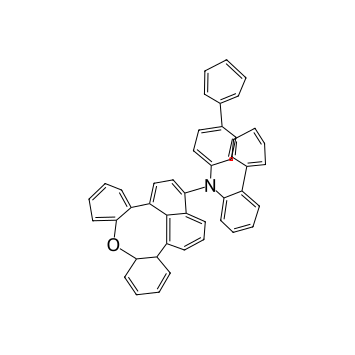 C1=CC2Oc3ccccc3-c3ccc(N(c4ccc(-c5ccccc5)cc4)c4ccccc4-c4ccccc4)c4cccc(c34)C2C=C1